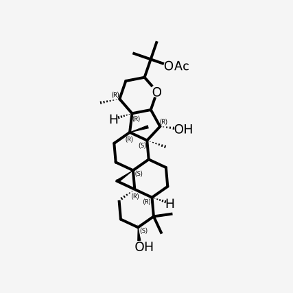 CC(=O)OC(C)(C)C1C[C@@H](C)[C@H]2C(O1)[C@H](O)[C@@]1(C)C3CC[C@H]4C(C)(C)[C@@H](O)CC[C@@]45C[C@@]35CC[C@]21C